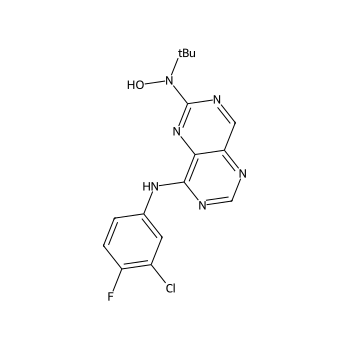 CC(C)(C)N(O)c1ncc2ncnc(Nc3ccc(F)c(Cl)c3)c2n1